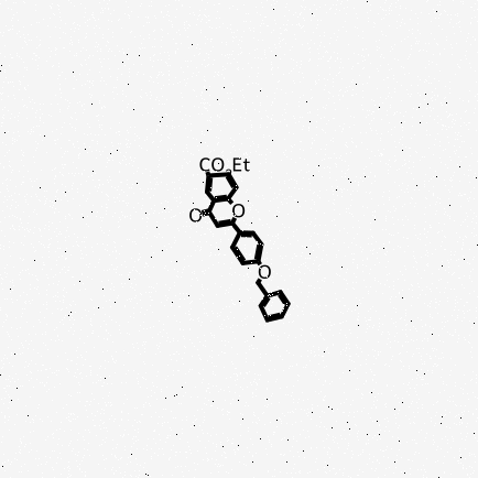 CCOC(=O)c1ccc2oc(-c3ccc(OCc4ccccc4)cc3)cc(=O)c2c1